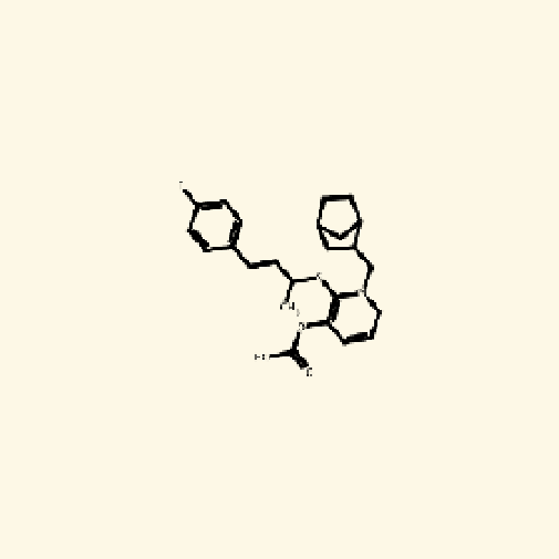 CC(CCc1ccc(F)cc1)SC1=C(OC(=O)O)C=CCN1CC1CC2CCC1C2